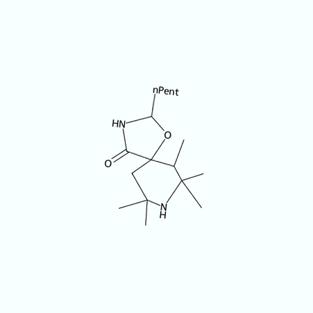 CCCCCC1NC(=O)C2(CC(C)(C)NC(C)(C)C2C)O1